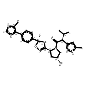 Cc1cc([C@@H](C(=O)N2C[C@H](O)C[C@H]2C2=NO[C@@](C)(c3ccc(-c4scnc4C)cc3)N2)C(C)C)on1